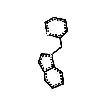 c1ccc(Cn2ccc3ccccc32)nc1